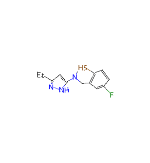 CCc1cc(N(C)Cc2cc(F)ccc2S)[nH]n1